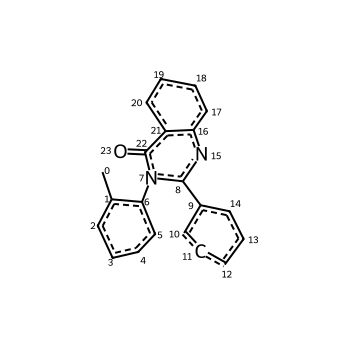 Cc1ccccc1-n1c(-c2ccccc2)nc2ccccc2c1=O